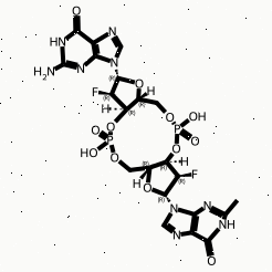 Cc1nc2c(ncn2[C@@H]2O[C@@H]3COP(=O)(O)O[C@H]4[C@@H](F)[C@H](n5cnc6c(=O)[nH]c(N)nc65)O[C@@H]4COP(=O)(O)O[C@H]3[C@H]2F)c(=O)[nH]1